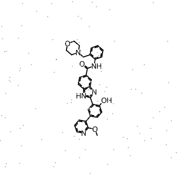 COc1ncccc1-c1ccc(O)c(-c2nc3cc(C(=O)Nc4ccccc4CN4CCOCC4)ccc3[nH]2)c1